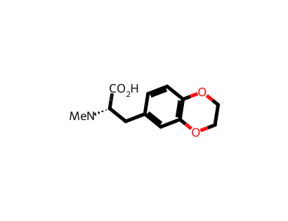 CN[C@@H](Cc1ccc2c(c1)OCCO2)C(=O)O